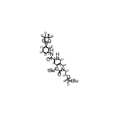 Cc1c(NC(=O)C2=CC=C(CN(CCO[Si](C)(C)C(C)(C)C)C(=O)OC(C)(C)C)CN2)cccc1B1OC(C)(C)C(C)(C)O1